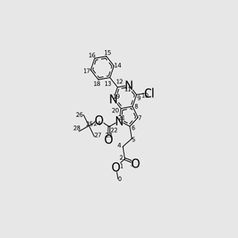 COC(=O)CCc1cc2c(Cl)nc(-c3ccccc3)nc2n1C(=O)OC(C)(C)C